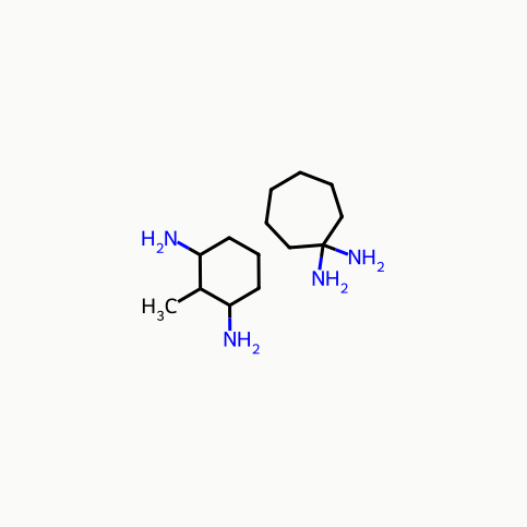 CC1C(N)CCCC1N.NC1(N)CCCCCC1